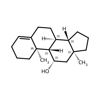 C[C@@]12CCC[C@H]1[C@@H]1CCC3=CCCC[C@]3(C)[C@H]1[C@@H](O)C2